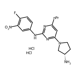 CCCc1cc(N2CC[C@H](N)C2)nc(Nc2ccc(F)c([N+](=O)[O-])c2)n1.Cl.Cl